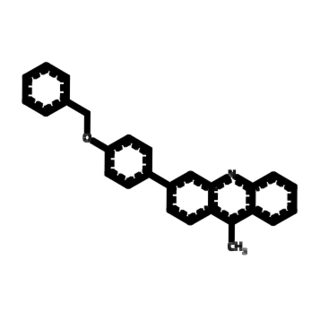 Cc1c2ccccc2nc2cc(-c3ccc(OCc4ccccc4)cc3)ccc12